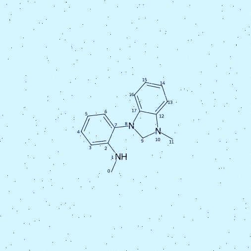 CNc1ccccc1N1CN(C)c2ccccc21